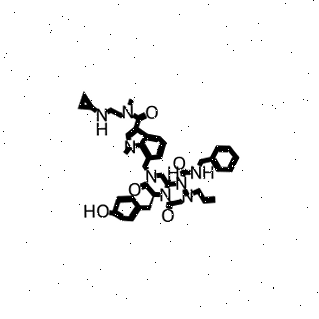 C=CCN1CC(=O)N2[C@@H](Cc3ccc(O)cc3)C(=O)N(Cc3cccc4c(C(=O)N(C)CCNC5CC5)cn(C)c34)C[C@@H]2N1C(=O)NCc1ccccc1